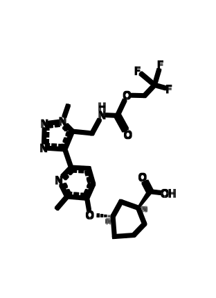 Cc1nc(-c2nnn(C)c2CNC(=O)OCC(F)(F)F)ccc1O[C@H]1CCC[C@H](C(=O)O)C1